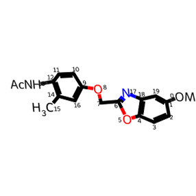 COc1ccc2oc(COc3ccc(NC(C)=O)c(C)c3)nc2c1